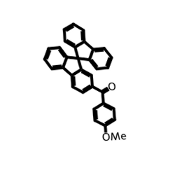 COc1ccc(C(=O)c2ccc3c(c2)C2(c4ccccc4-c4ccccc42)c2ccccc2-3)cc1